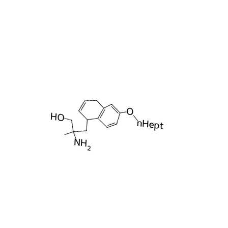 CCCCCCCOc1ccc2c(c1)CC=CC2CC(C)(N)CO